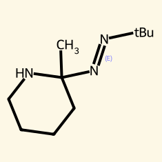 CC(C)(C)/N=N/C1(C)CCCCN1